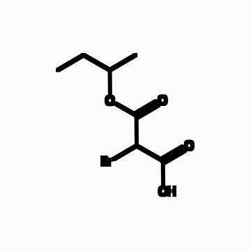 CCC(C)OC(=O)C(Br)C(=O)O